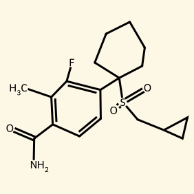 Cc1c(C(N)=O)ccc(C2(S(=O)(=O)CC3CC3)CCCCC2)c1F